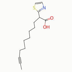 CC#CCCCCCCCC(C(=O)O)c1nccs1